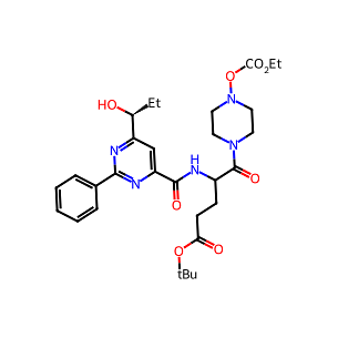 CCOC(=O)ON1CCN(C(=O)C(CCC(=O)OC(C)(C)C)NC(=O)c2cc([C@@H](O)CC)nc(-c3ccccc3)n2)CC1